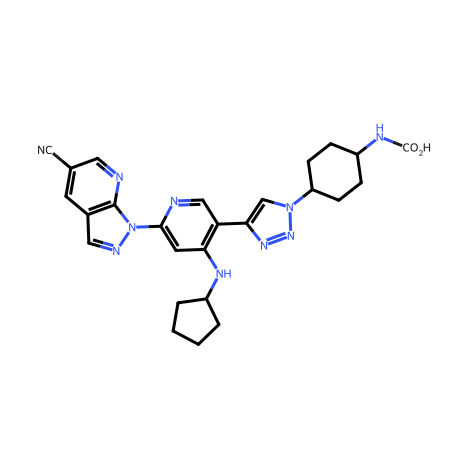 N#Cc1cnc2c(cnn2-c2cc(NC3CCCC3)c(-c3cn(C4CCC(NC(=O)O)CC4)nn3)cn2)c1